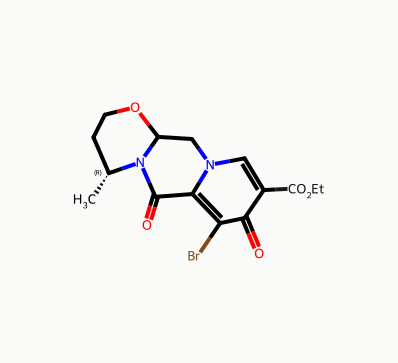 CCOC(=O)c1cn2c(c(Br)c1=O)C(=O)N1C(C2)OCC[C@H]1C